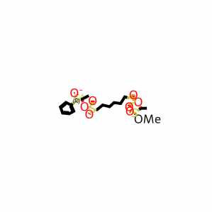 COS(=O)C(C)OS(=O)(=O)CCCCCCS(=O)(=O)OC(C)[S@@+]([O-])c1ccccc1